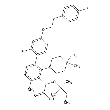 CCC(C)(C)OC(C(=O)O)c1c(C)ncc(-c2ccc(OCCc3ccc(F)cc3)cc2F)c1N1CCC(C)(C)CC1